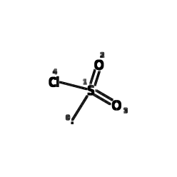 [CH2]S(=O)(=O)Cl